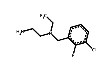 NCCN(Cc1cccc(Cl)c1F)CC(F)(F)F